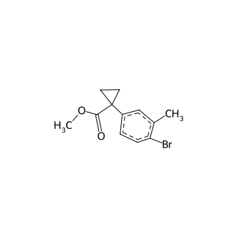 COC(=O)C1(c2ccc(Br)c(C)c2)CC1